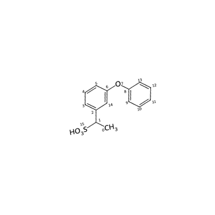 CC(c1cccc(Oc2ccccc2)c1)S(=O)(=O)O